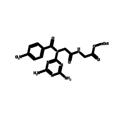 CCCCCCCCOC(=O)CNC(=O)CN(C(=O)c1ccc([N+](=O)[O-])cc1)c1nc(N)nc(N)n1